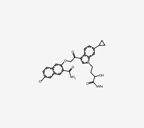 CNC(=O)C(O)CCn1cc(C(=O)COc2cc3ccc(Cl)cc3cc2C(N)=O)c2ccc(C3CC3)cc21